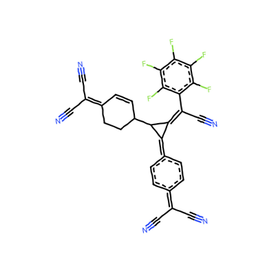 N#CC(C#N)=C1C=CC(C2C(=c3ccc(=C(C#N)C#N)cc3)/C2=C(\C#N)c2c(F)c(F)c(F)c(F)c2F)CC1